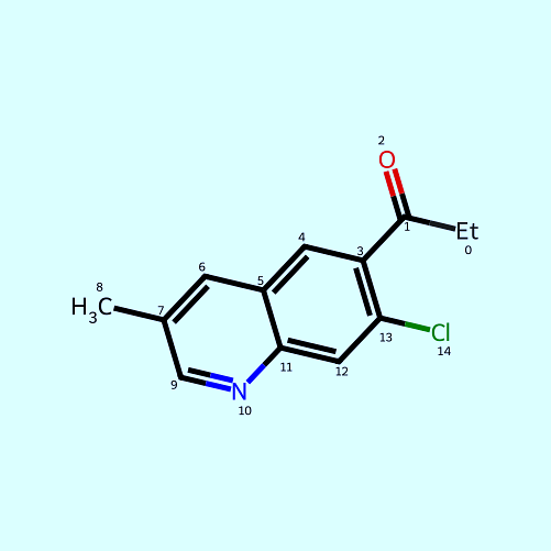 CCC(=O)c1cc2cc(C)cnc2cc1Cl